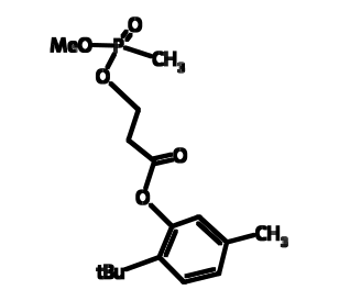 COP(C)(=O)OCCC(=O)Oc1cc(C)ccc1C(C)(C)C